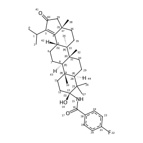 CC(C)C1=C2[C@H]3CC[C@@H]4[C@@]5(C)CC[C@@](O)(NC(=O)c6ccc(F)cc6)C(C)(C)[C@@H]5CC[C@@]4(C)[C@]3(C)CC[C@@]2(C)CC1=O